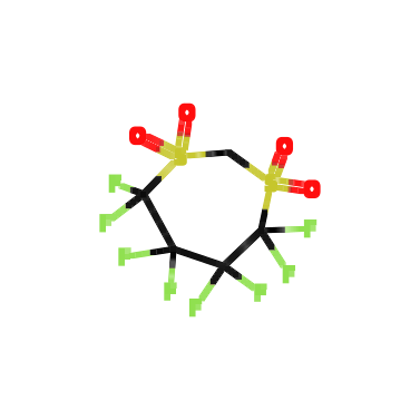 O=S1(=O)CS(=O)(=O)C(F)(F)C(F)(F)C(F)(F)C1(F)F